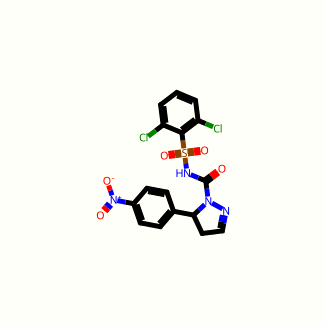 O=C(NS(=O)(=O)c1c(Cl)cccc1Cl)N1N=CCC1c1ccc([N+](=O)[O-])cc1